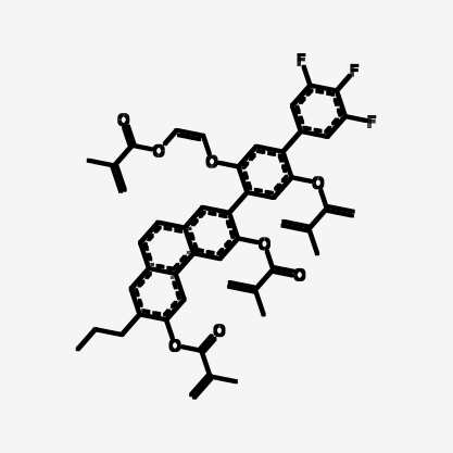 C=C(C)C(=C)Oc1cc(-c2cc3ccc4cc(CCC)c(OC(=O)C(=C)C)cc4c3cc2OC(=O)C(=C)C)c(O/C=C\OC(=O)C(=C)C)cc1-c1cc(F)c(F)c(F)c1